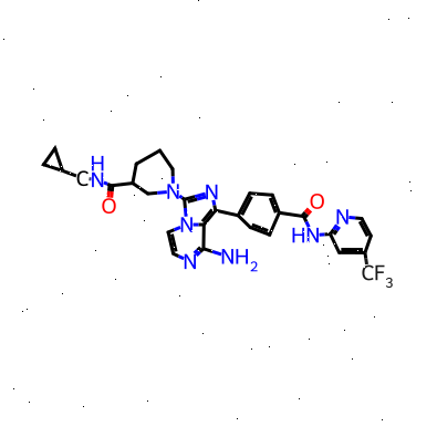 Nc1nccn2c(N3CCCC(C(=O)NCC4CC4)C3)nc(-c3ccc(C(=O)Nc4cc(C(F)(F)F)ccn4)cc3)c12